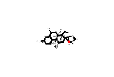 CC[C@H]1C[C@@H]2[C@H]([C@@H](O)C[C@@]3(C)[C@H]2CC[C@@]32OCOC23COCO3)[C@@]2(C)C=CC(=O)C=C12